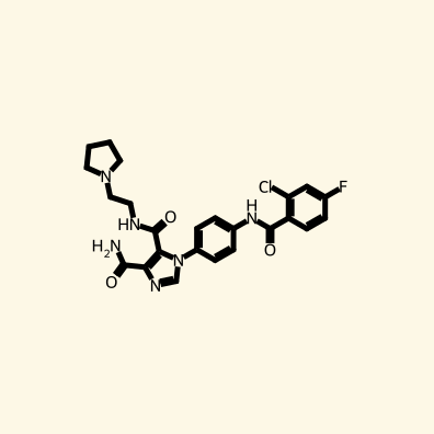 NC(=O)c1ncn(-c2ccc(NC(=O)c3ccc(F)cc3Cl)cc2)c1C(=O)NCCN1CCCC1